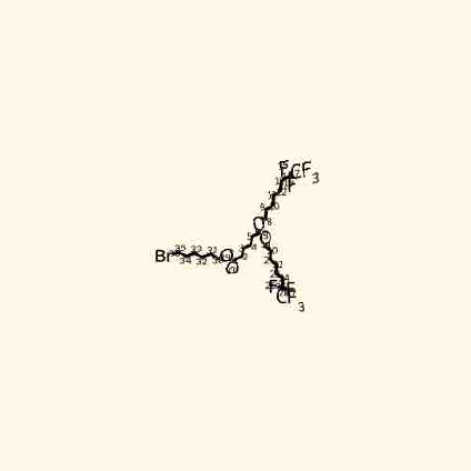 O=C(CCCCC(OCCCCCCC(F)(F)C(F)(F)F)OCCCCCCC(F)(F)C(F)(F)F)OCCCCCCBr